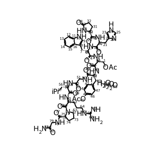 CC(=O)OC[C@H](NC(=O)[C@H](Cc1c[nH]c2ccccc12)NC(=O)[C@H](Cc1c[nH]cn1)NC(=O)[C@@H]1CCC(=O)N1)C(=O)N[C@@H](Cc1ccc(OC(C)=O)cc1)C(=O)NCC(=O)N[C@@H](CC(C)C)C(=O)N[C@@H](CCCNC(=N)N)C(=O)N1CCC[C@H]1C(=O)NCC(N)=O.O.O.O